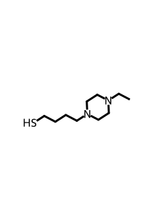 CCN1CCN(CCCCS)CC1